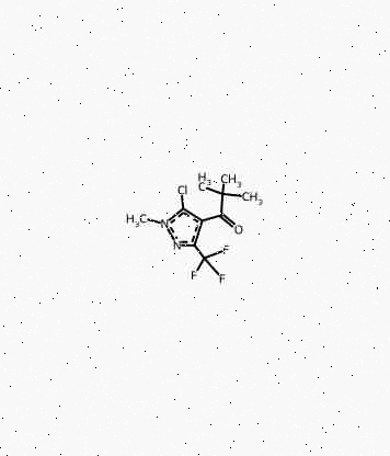 Cn1nc(C(F)(F)F)c(C(=O)C(C)(C)C)c1Cl